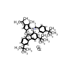 CC1=[C](/[Zr+2](=[CH]/c2ccc(C(C)(C)C)cc2)[c]2cc(C(C)(C)C)cc3c2Cc2ccc(C(C)(C)C)cc2-3)C(C)C=C1C(C)C.[Cl-].[Cl-]